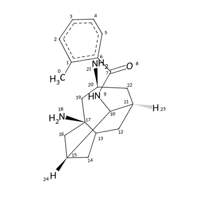 Cc1ccccc1C(=O)NC1[C@@H]2CC3C[C@@H]1C[C@]3(N)C[C@@H](N)C2